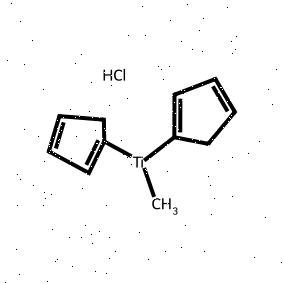 Cl.[CH3][Ti]([C]1=CC=CC1)[C]1=CC=CC1